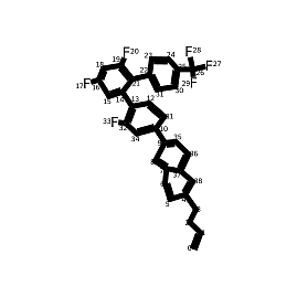 C=CCCc1ccc2cc(-c3ccc(-c4cc(F)cc(F)c4-c4ccc(C(F)(F)F)cc4)c(F)c3)ccc2c1